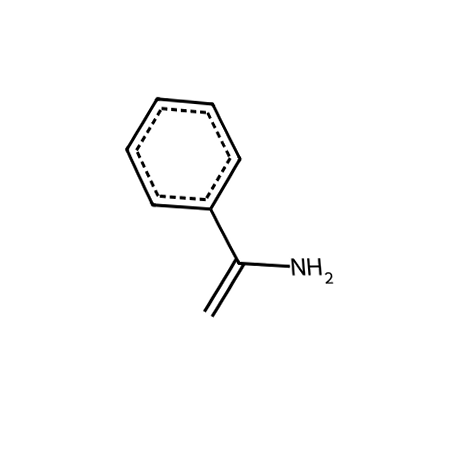 C=C(N)c1ccccc1